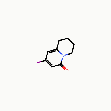 O=c1cc(I)cc2n1CCCC2